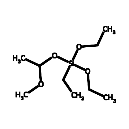 CCO[Si](CC)(OCC)OC(C)OC